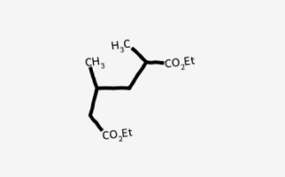 CCOC(=O)CC(C)CC(C)C(=O)OCC